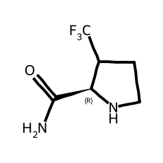 NC(=O)[C@@H]1NCCC1C(F)(F)F